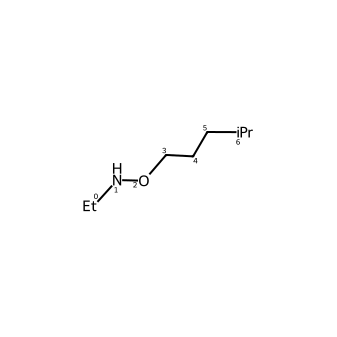 CCNOCCCC(C)C